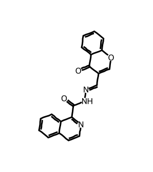 O=C(NN=Cc1coc2ccccc2c1=O)c1nccc2ccccc12